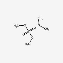 COC.COS(=O)(=O)OC